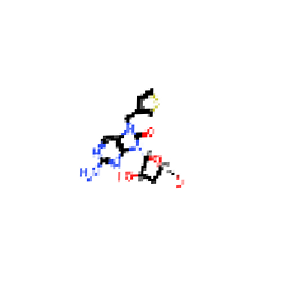 Nc1ncc2c(n1)n([C@@H]1O[C@H](CO)C[C@H]1O)c(=O)n2Cc1ccsc1